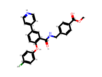 COC(=O)c1ccc(CNC(=O)c2cc(-c3ccncc3)ccc2Oc2ccc(F)cc2)cc1